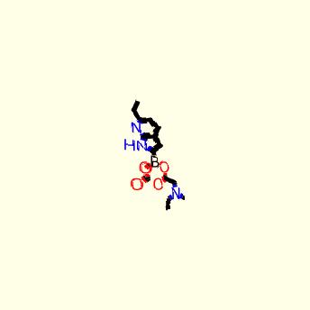 CCc1ccc2cc(B(OC=O)OC(=O)CN(C)CC)[nH]c2n1